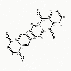 O=C1C=CC(=O)c2ccccc21.O=C1c2ccccc2C(=O)c2ccccc21